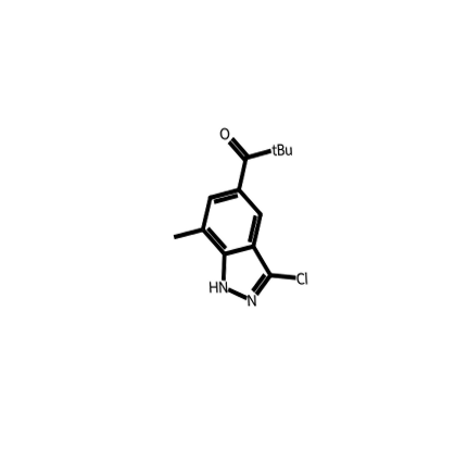 Cc1cc(C(=O)C(C)(C)C)cc2c(Cl)n[nH]c12